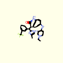 CCN1CCC(Nc2ccc3c(c2)C(=C(c2cccc(C(F)(F)F)c2)c2nc(C)c[nH]2)C(=O)N3)CC1